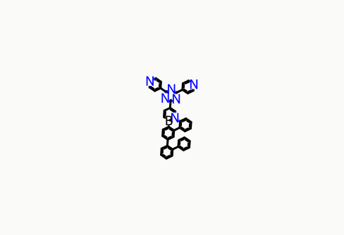 C1=CC(c2nc(-c3ccncc3)nc(-c3ccncc3)n2)=CN2B1c1ccc(-c3ccccc3-c3ccccc3)cc1-c1ccccc12